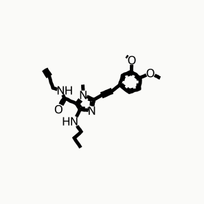 C#CCNC(=O)c1c(NCCC)nc(C#Cc2ccc(OC)c(OC)c2)n1C